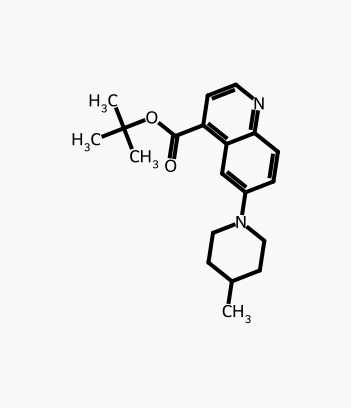 CC1CCN(c2ccc3nccc(C(=O)OC(C)(C)C)c3c2)CC1